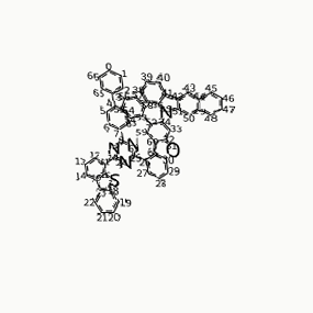 c1ccc(-c2ccc(-c3nc(-c4cccc5c4sc4ccccc45)nc(-c4cccc5oc6cc(-n7c8ccccc8c8cc9ccccc9cc87)c(-c7ccccc7)cc6c45)n3)cc2)cc1